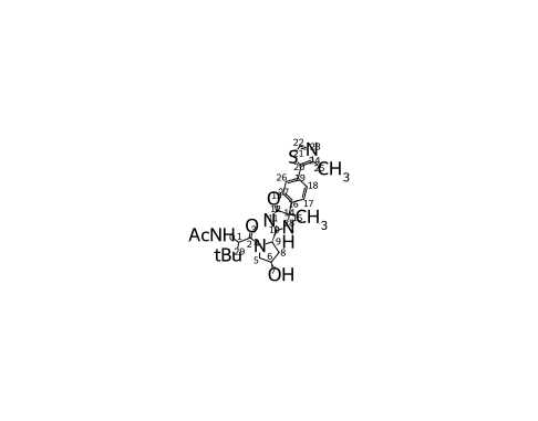 CC(=O)NC(C(=O)N1C[C@H](O)C[C@@H]1C1=NC(=O)C(C)(c2ccc(-c3scnc3C)cc2)N1)C(C)(C)C